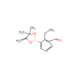 C=C1OB(c2cccc(C=O)c2CC)OC1(C)C